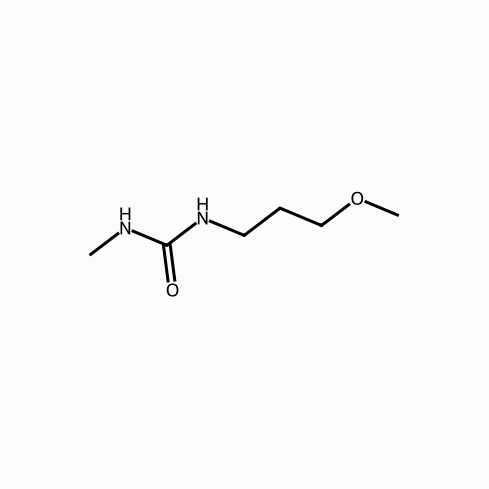 CNC(=O)NCCCOC